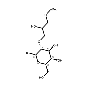 CCCCCCCCCCOCC(O)CO[C@@H]1[C@@H](O)[C@@H](O)[C@@H](CO)O[C@H]1O